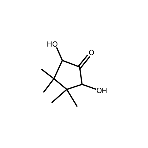 CC1(C)C(O)C(=O)C(O)C1(C)C